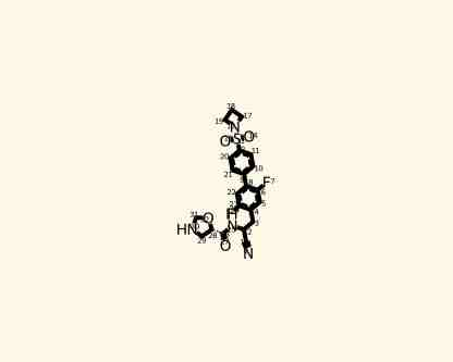 N#CC(Cc1cc(F)c(-c2ccc(S(=O)(=O)N3CCC3)cc2)cc1F)NC(=O)[C@@H]1CNCO1